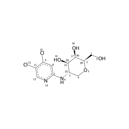 OC[C@H]1OC[C@H](Nc2cc(Cl)c(Cl)cn2)[C@@H](O)[C@H]1O